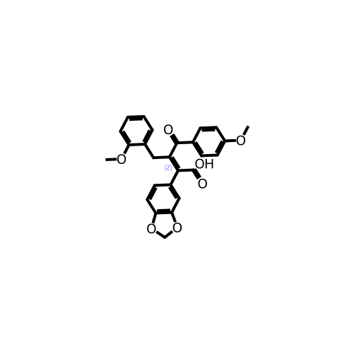 COc1ccc(C(=O)/C(Cc2ccccc2OC)=C(\C(=O)O)c2ccc3c(c2)OCO3)cc1